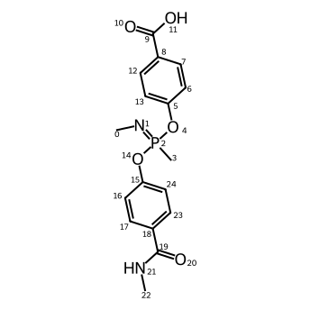 CN=P(C)(Oc1ccc(C(=O)O)cc1)Oc1ccc(C(=O)NC)cc1